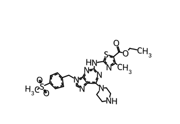 CCOC(=O)c1sc(Nc2nc(N3CCNCC3)c3ncn(Cc4ccc(S(C)(=O)=O)cc4)c3n2)nc1C